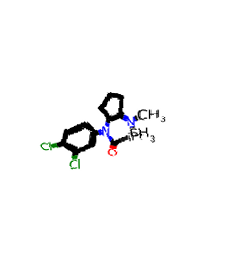 CC(C)C(=O)N(c1ccc(Cl)c(Cl)c1)C1CCCC1N(C)C